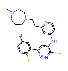 CN1CCCN(CCc2cc(Nc3cc(-c4cc(Cl)ccc4F)nnc3S)ccn2)CC1